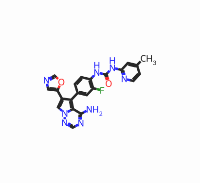 Cc1ccnc(NC(=O)Nc2ccc(-c3c(-c4cnco4)cn4ncnc(N)c34)cc2F)c1